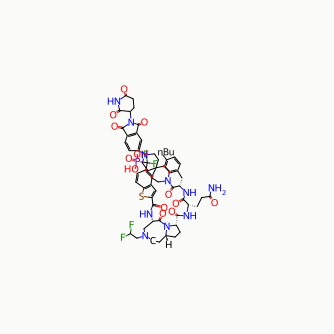 CCCCc1ccc(C[C@H](NC(=O)[C@H](CCC(N)=O)NC(=O)[C@@H]2CC[C@@H]3CCN(CC(F)F)C[C@H](NC(=O)c4cc5cc(C(F)(F)P(=O)(O)O)ccc5s4)C(=O)N32)C(=O)N2CCC3(CC2)CCN(c2ccc4c(c2)C(=O)N(C2CCC(=O)NC2=O)C4=O)CC3)cc1